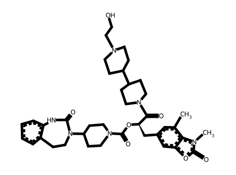 Cc1cc(C[C@@H](OC(=O)N2CCC(N3CCc4ccccc4NC3=O)CC2)C(=O)N2CCC(C3CCN(CCO)CC3)CC2)cc2oc(=O)n(C)c12